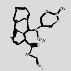 CCCCP1OCC(N(C(=O)O)C2c3ccccc3-c3cccc(C(=O)NCC(F)(F)F)c32)CO1